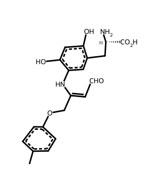 Cc1ccc(OCC(=CC=O)Nc2cc(C[C@H](N)C(=O)O)c(O)cc2O)cc1